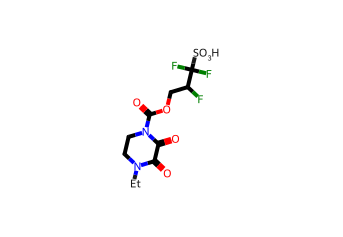 CCN1CCN(C(=O)OCC(F)C(F)(F)S(=O)(=O)O)C(=O)C1=O